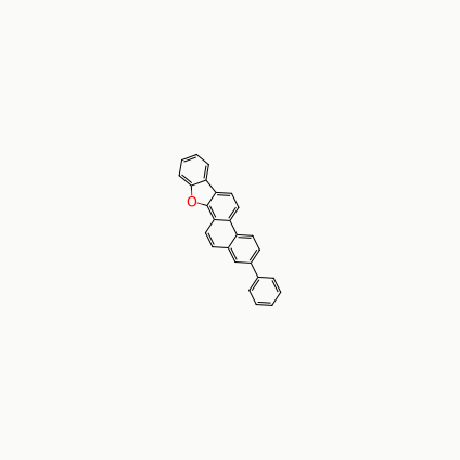 c1ccc(-c2ccc3c(ccc4c3ccc3c5ccccc5oc34)c2)cc1